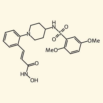 COc1ccc(OC)c(S(=O)(=O)NC2CCN(c3ccccc3C=CC(=O)NO)CC2)c1